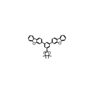 CC1(C)OB(c2cc(-c3ccc4c(c3)oc3ccccc34)cc(-c3ccc4c(c3)oc3ccccc34)c2)OC1(C)C